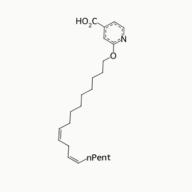 CCCCC/C=C\C/C=C\CCCCCCCCOc1cc(C(=O)O)ccn1